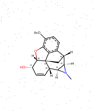 CC(=O)Oc1ccc2c3c1O[C@H]1[C@@H](O)C=C[C@H]4[C@H]5[C@@H]([C@@H]2C[C@@]341)N5C